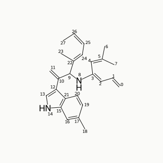 C=C/C=C(\C=C(C)C)NC(C(=C)c1c[nH]c2cc(C)ccc12)/C(C)=C/C=C\C